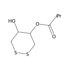 CC(C)C(=O)OC1CSSCC1O